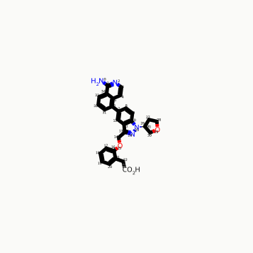 Nc1nccc2c(-c3ccc4c(c3)c(COc3ccccc3CC(=O)O)nn4[C@@H]3CCOC3)cccc12